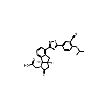 CC(C)Oc1ccc(-c2nc(-c3cccc4c3C[C@@H]3CC(=O)N(CC(=O)O)[C@H]43)no2)cc1C#N